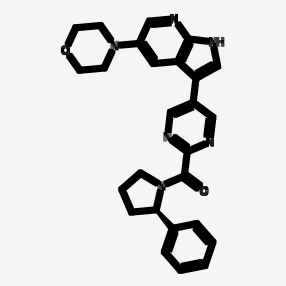 O=C(c1ncc(-c2c[nH]c3ncc(N4CCOCC4)cc23)cn1)N1CCC[C@@H]1c1ccccc1